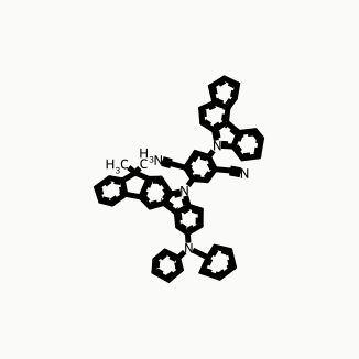 CC1(C)c2ccccc2-c2cc3c4cc(N(c5ccccc5)c5ccccc5)ccc4n(-c4cc(C#N)c(-n5c6ccccc6c6c7ccccc7ccc65)cc4C#N)c3cc21